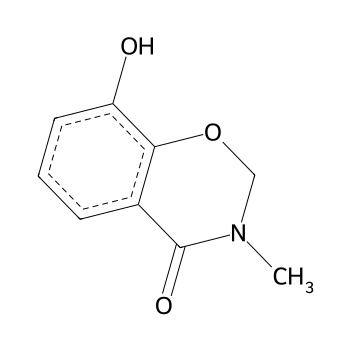 CN1COc2c(O)cccc2C1=O